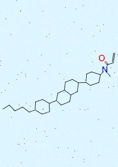 C=CC(=O)N(C)C1CCC(C2CCC3CC(C4CCC(CCCCC)CC4)CCC3C2)CC1